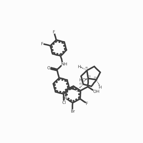 O=C(Nc1ccc(F)c(F)c1)c1ccc(Cl)c(S[C@@H]2C[C@H]3CC[C@@H](C2)[C@@]3(O)C(O)c2ccnc(Br)c2F)c1